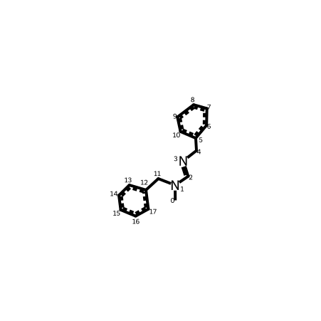 CN(C=NCc1ccccc1)Cc1ccccc1